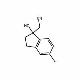 N#CCC1(C#N)CCc2cc(F)ccc21